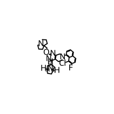 Fc1ccc2cccc(N3CCc4c(nc(OCC56CCCN5CCC6)nc4[C@@H]4C[C@H]5CC[C@@H](C4)N5)C3)c2c1Cl